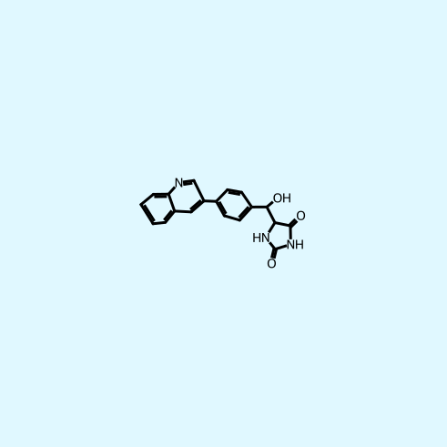 O=C1NC(=O)C(C(O)c2ccc(-c3cnc4ccccc4c3)cc2)N1